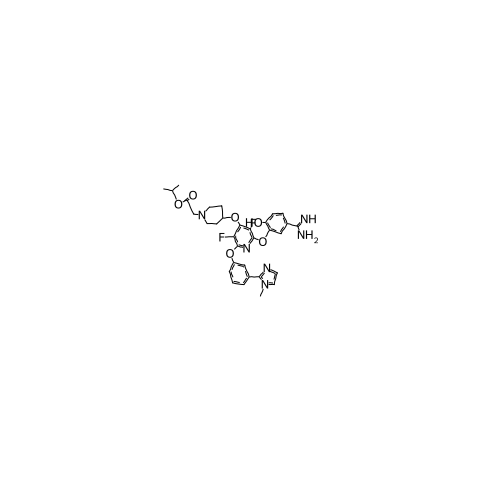 CC(C)OC(=O)CN1CCC(Oc2c(F)c(Oc3cccc(-c4nccn4C)c3)nc(Oc3cc(C(=N)N)ccc3O)c2F)CC1